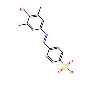 Cc1cc(N=Nc2ccc(S(=O)(=O)O)cc2)cc(C)c1O